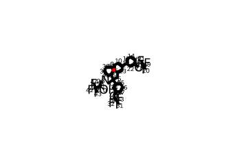 O[C@H](CN1CC(Cc2cccc(-c3cccc(OC(F)(F)F)c3)c2)(c2cccc(OC(F)(F)F)c2)c2ccccc21)C(F)(F)F